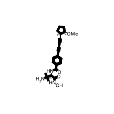 CO[C@H]1CCC[C@@H]1C#CC#Cc1ccc(C(=O)N[C@H](C(=O)NO)C(C)(C)N)cc1